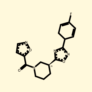 O=C(c1ccno1)N1CCC[C@H](c2nc(C3C=CC(F)=CC3)no2)C1